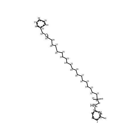 Cc1cccc(NCC(C)(C)CCCCCCCCCCCCCCCCCCCCOCc2ccccc2)n1